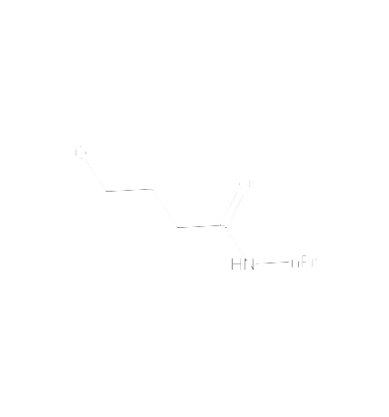 CCCNC(=O)CCC[O]